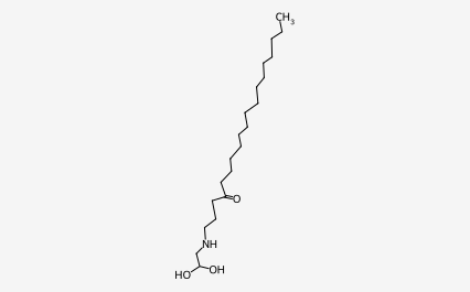 CCCCCCCCCCCCCCCC(=O)CCCNCC(O)O